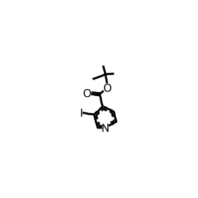 CC(C)(C)OC(=O)c1ccncc1I